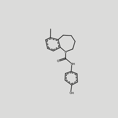 Cc1cccc2c1CCCCN2C(=O)Nc1ccc(O)cc1